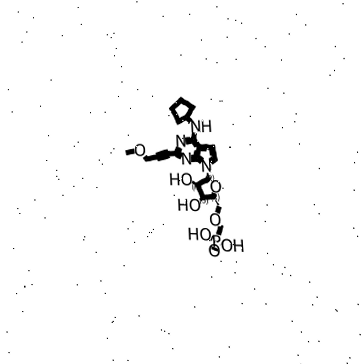 COCC#Cc1nc(NC2CCCC2)c2ccn([C@@H]3O[C@H](COCP(=O)(O)O)[C@@H](O)[C@H]3O)c2n1